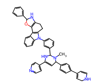 CN1C(c2ccc(C3=CCNC=C3)cc2)C=C(c2ccncc2)NC1c1cccc(-n2c3c(c4ccccc42)C2=C(CC3)NC(c3ccccc3)O2)c1